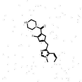 C/C=C\c1c(CC2=CC(F)=C(C(=O)N3CCNCC3)C2)ncn1C